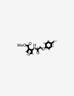 COC(=O)c1cscc1NC(=O)COc1ccc(I)cc1